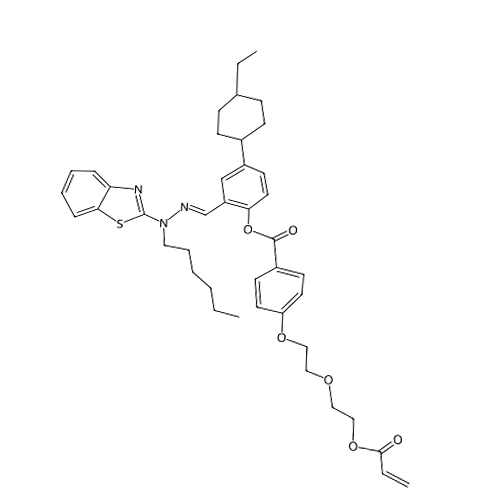 C=CC(=O)OCCOCCOc1ccc(C(=O)Oc2ccc(C3CCC(CC)CC3)cc2/C=N/N(CCCCCC)c2nc3ccccc3s2)cc1